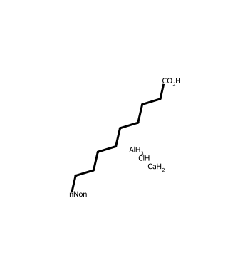 CCCCCCCCCCCCCCCCCC(=O)O.Cl.[AlH3].[CaH2]